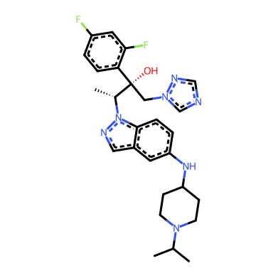 CC(C)N1CCC(Nc2ccc3c(cnn3[C@H](C)[C@](O)(Cn3cncn3)c3ccc(F)cc3F)c2)CC1